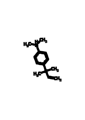 C=C[Si](C)(C)c1ccc([SiH](C)C)cc1